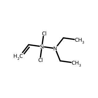 C=C[Si](Cl)(Cl)N(CC)CC